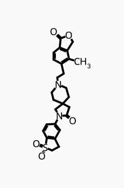 Cc1c(CCN2CCC3(CC2)CC(=O)N(c2ccc4c(c2)CCS4(=O)=O)C3)ccc2c1COC2=O